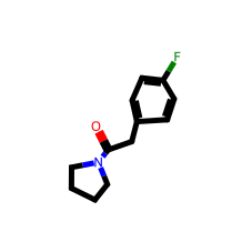 O=C(Cc1ccc(F)cc1)N1CCCC1